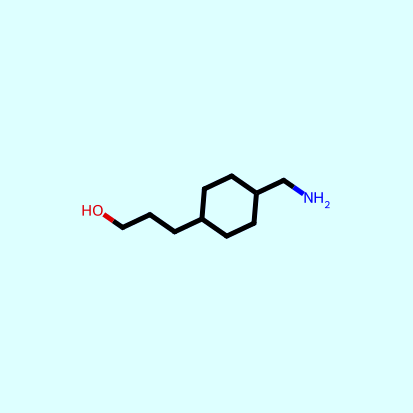 NCC1CCC(CCCO)CC1